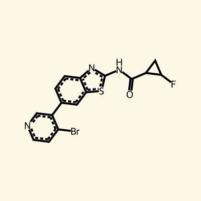 O=C(Nc1nc2ccc(-c3cnccc3Br)cc2s1)C1CC1F